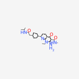 CCn1c(N)c(C(=O)NC)c(=O)c2ccc(-c3ccc(CC(=O)NC(C)C)cc3)nc21